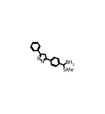 BC(SC)c1ccc(C2=NN=C(c3ccccc3)C2)cc1